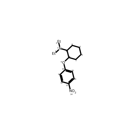 CCN(CC)C1CCCCC1Oc1ccc([N+](=O)[O-])cc1